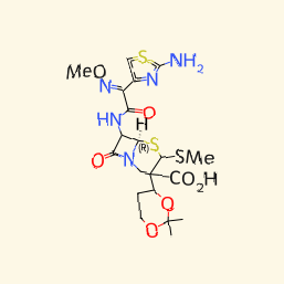 CON=C(C(=O)NC1C(=O)N2CC(C(=O)O)(C3CCOC(C)(C)O3)C(SC)S[C@H]12)c1csc(N)n1